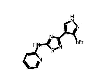 CCCc1n[nH]cc1-c1nsc(Nc2ccccn2)n1